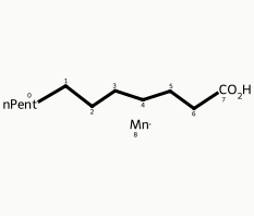 CCCCCCCCCCCC(=O)O.[Mn]